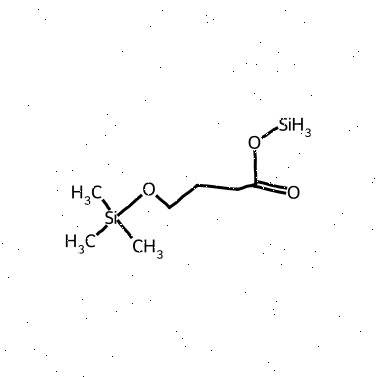 C[Si](C)(C)OCCCC(=O)O[SiH3]